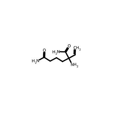 C=CC(N)(CCCC(N)=O)C(N)=O